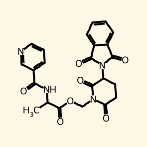 CC(NC(=O)c1cccnc1)C(=O)OCN1C(=O)CCC(N2C(=O)c3ccccc3C2=O)C1=O